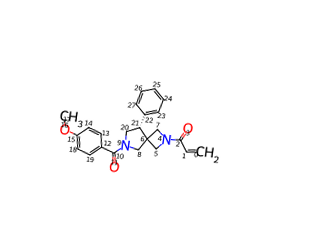 C=CC(=O)N1CC2(C1)CN(C(=O)c1ccc(OC)cc1)C[C@@H]2c1ccccc1